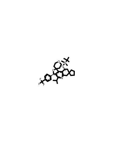 CC(C)c1nc2c(c3c1[C@@H](c1ccc(C(F)(F)F)cc1)OC31CCOCC1)[C@@H](O[Si](C)(C)C(C)(C)C)CC1(CCCC1)C2